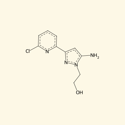 Nc1cc(-c2cccc(Cl)n2)nn1CCO